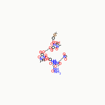 C=C1C[C@H]2C(O)N(C(=O)OCc3ccc(NC(=O)C(CCCNC(N)=O)NC(=O)[C@@H](NC(=O)CCCCCN4C(=O)C=CC4=O)C(C)C)cc3)c3cc(OCCCCCOc4cc5c(cc4OC)C(=O)N4CC(=C)C[C@H]4C(O)N5C(=O)OCc4ccc(SSC(C)(C)C)cc4)c(OC)cc3C(=O)N2C1